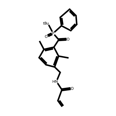 C=CC(=O)NCc1ccc(C)c(C(=O)P(=O)(c2ccccc2)C(C)(C)C)c1C